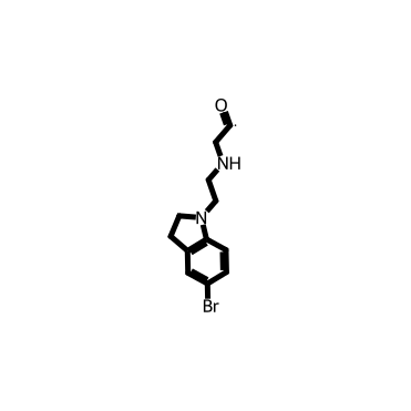 O=[C]CNCCN1CCc2cc(Br)ccc21